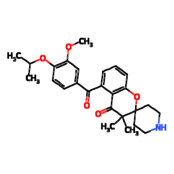 COc1cc(C(=O)c2cccc3c2C(=O)C(C)(C)C2(CCNCC2)O3)ccc1OC(C)C